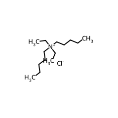 CCCCC[N+](CC)(CC)CCCCC.[Cl-]